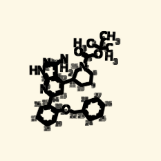 CC(C)(C)OC(=O)N1CCCC(c2cc(-c3ccccc3OCc3ccccc3)nc3[nH]nc(N)c23)C1